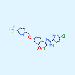 COc1cc(OCc2ccc(C(F)(F)F)cn2)ccc1-c1nc(-c2ccc(Cl)cn2)[nH]c1Cl